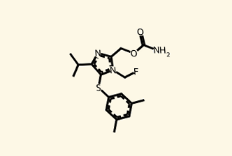 Cc1cc(C)cc(Sc2c(C(C)C)nc(COC(N)=O)n2CF)c1